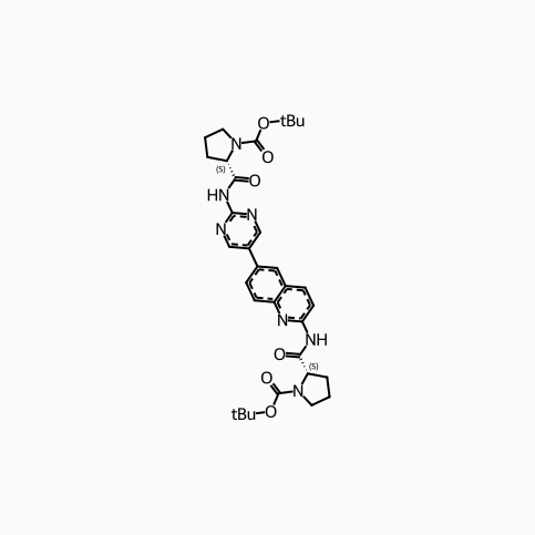 CC(C)(C)OC(=O)N1CCC[C@H]1C(=O)Nc1ccc2cc(-c3cnc(NC(=O)[C@@H]4CCCN4C(=O)OC(C)(C)C)nc3)ccc2n1